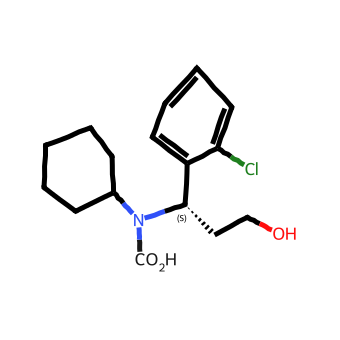 O=C(O)N(C1CCCCC1)[C@@H](CCO)c1ccccc1Cl